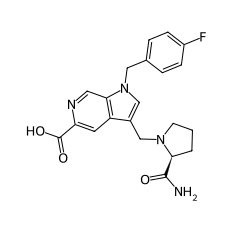 NC(=O)[C@@H]1CCCN1Cc1cn(Cc2ccc(F)cc2)c2cnc(C(=O)O)cc12